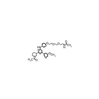 COc1cncc(-c2cc(Nc3ccc(OCCOCCOCCNC(C)=O)cc3)nc(C3CCCN(C(C)=O)C3)n2)c1